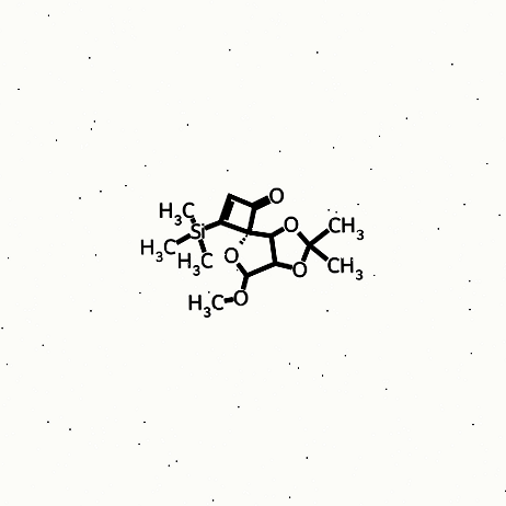 COC1O[C@]2(C(=O)C=C2[Si](C)(C)C)C2OC(C)(C)OC12